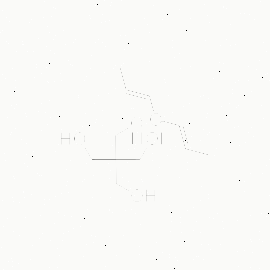 CC=COC=CC.OCC(CO)(CO)CO